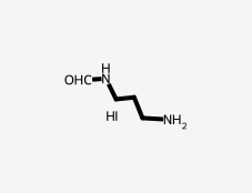 I.NCCCNC=O